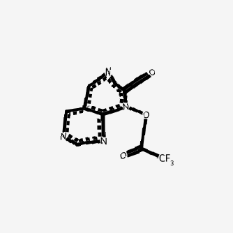 O=C(On1c(=O)ncc2cncnc21)C(F)(F)F